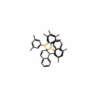 Cc1cc(C)cc(P(c2cc(C)cc(C)c2)C2(P(c3cc(C)cc(C)c3)c3cc(C)cc(C)c3)C=Cc3ccccc3C2c2cccc3ccccc23)c1